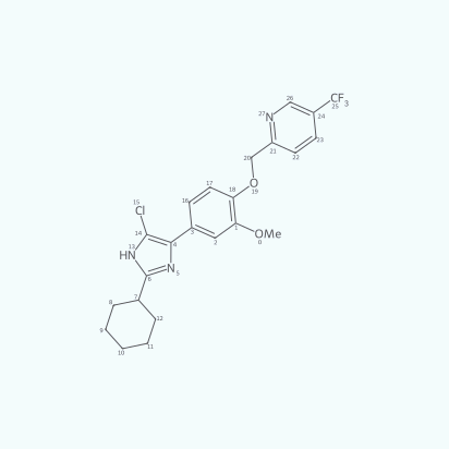 COc1cc(-c2nc(C3CCCCC3)[nH]c2Cl)ccc1OCc1ccc(C(F)(F)F)cn1